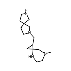 CN1CCNC2(CC2CN2CC[C@]3(CCNC3)C2)C1